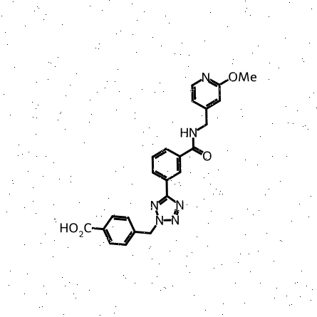 COc1cc(CNC(=O)c2cccc(-c3nnn(Cc4ccc(C(=O)O)cc4)n3)c2)ccn1